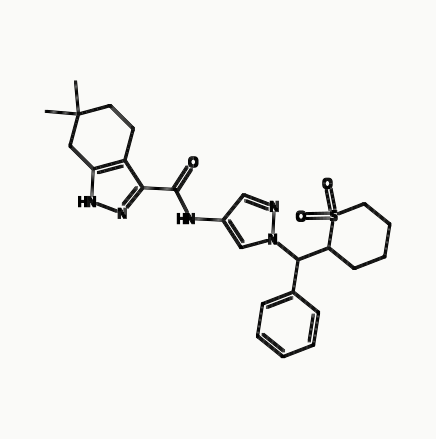 CC1(C)CCc2c(C(=O)Nc3cnn(C(c4ccccc4)C4CCCCS4(=O)=O)c3)n[nH]c2C1